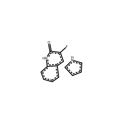 O=c1[nH]c2ccccc2cc1F.c1cc[nH]c1